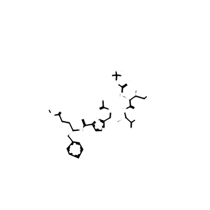 CC[C@H](C)[C@H](NC(=O)OC(C)(C)C)C(=O)N[C@H](C[C@@H](OC(C)=O)c1nc(C(=O)N[C@@H](Cc2ccccc2)C[C@H](C)C(=O)OC)cs1)C(C)C